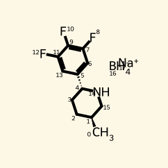 C[C@H]1CC[C@H](c2cc(F)c(F)c(F)c2)NC1.[BH4-].[Na+]